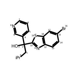 CC(C)CC(O)(c1cccnc1)c1nc2ccc(Br)cc2s1